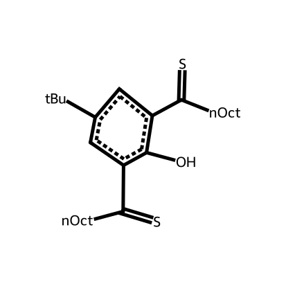 CCCCCCCCC(=S)c1cc(C(C)(C)C)cc(C(=S)CCCCCCCC)c1O